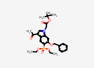 CCOP(=O)(OCC)c1cc2c(C(C)=O)cn(CC(=O)OC(C)(C)C)c2cc1OCc1ccccc1